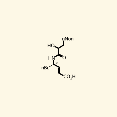 CCCCCCCCCCC(O)C(=O)N[C@H](C=CC(=O)O)CCCC